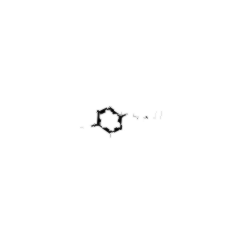 Cc1ccc(OOS)cc1